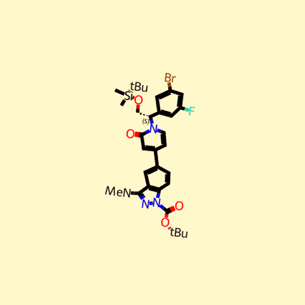 CNc1nn(C(=O)OC(C)(C)C)c2ccc(-c3ccn([C@H](CO[Si](C)(C)C(C)(C)C)c4cc(F)cc(Br)c4)c(=O)c3)cc12